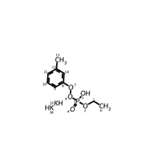 CCOP(=O)(O)OOc1cccc(C)c1.[KH].[KH]